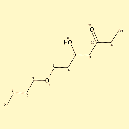 CCCCOCCC(O)CC(=O)CC